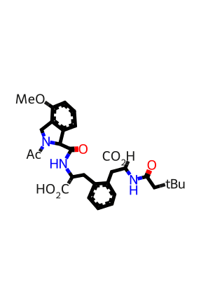 COc1cccc2c1CN(C(C)=O)C2C(=O)NC(Cc1ccccc1CC(NC(=O)CC(C)(C)C)C(=O)O)C(=O)O